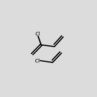 C=CC(=C)Cl.C=CCl